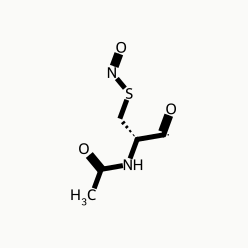 CC(=O)N[C@@H]([C]=O)CSN=O